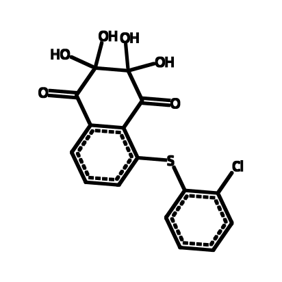 O=C1c2cccc(Sc3ccccc3Cl)c2C(=O)C(O)(O)C1(O)O